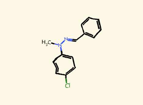 CN(/N=C/c1ccccc1)c1ccc(Cl)cc1